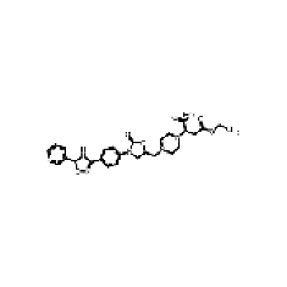 CCOC(=O)CC(C(=O)O)N1CCN(CC2CN(c3ccc(C4=NOC(c5cccnc5)N4)cc3)C(=O)O2)CC1